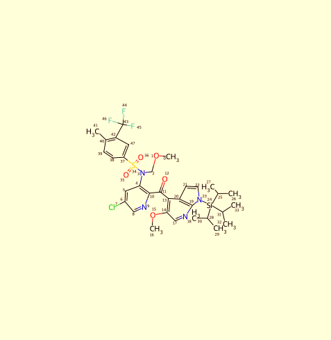 COCN(c1cc(Cl)cnc1C(=O)c1c(OC)cnc2c1ccn2[Si](C(C)C)(C(C)C)C(C)C)S(=O)(=O)c1ccc(C)c(C(F)(F)F)c1